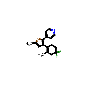 CC1=C(c2[c]c(C)sc2-c2ccncc2)CCC(F)(F)C1